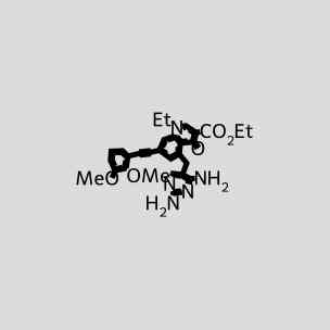 CCOC(=O)c1cn(CC)c2cc(C#Cc3cccc(OC)c3OC)cc(Cc3cnc(N)nc3N)c2c1=O